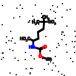 CC(C)(C)OC(=O)NC(CCCC(C)(C)[N+](=O)[O-])C(=O)O